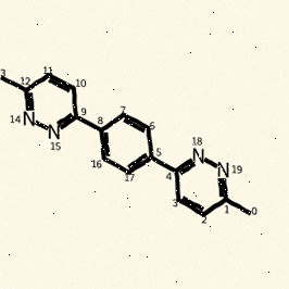 Cc1ccc(-c2ccc(-c3ccc(C)nn3)cc2)nn1